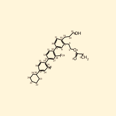 C=CC(=O)OCCc1cc(-c2ccc(-c3ccc(C4CCCCC4)cc3F)cc2F)ccc1CCCO